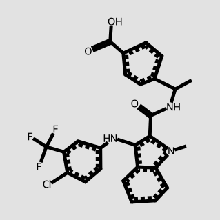 CC(NC(=O)c1c(Nc2ccc(Cl)c(C(F)(F)F)c2)c2ccccc2n1C)c1ccc(C(=O)O)cc1